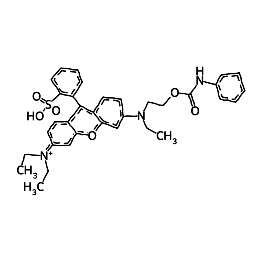 CCN(CCOC(=O)Nc1ccccc1)c1ccc2c(-c3ccccc3S(=O)(=O)O)c3ccc(=[N+](CC)CC)cc-3oc2c1